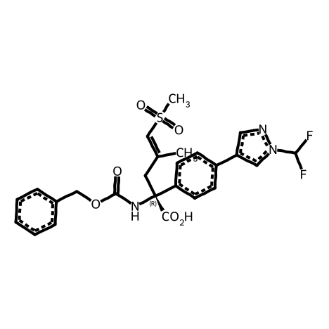 CC(=CS(C)(=O)=O)C[C@](NC(=O)OCc1ccccc1)(C(=O)O)c1ccc(-c2cnn(C(F)F)c2)cc1